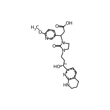 COc1ccc(C(CC(=O)O)N2CCN(CC[C@H](O)c3ccc4c(n3)NCCC4)C2=O)cn1